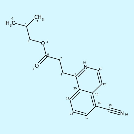 CC(C)COC(=O)CCc1nccc2c(C#N)cccc12